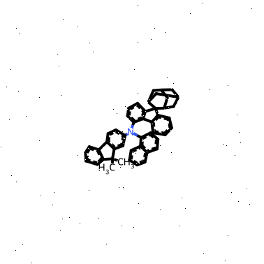 CC1(C)c2ccccc2-c2ccc(N(c3cccc4c3-c3ccccc3C43C4CC5CC(C4)CC3C5)c3cccc4ccccc34)cc21